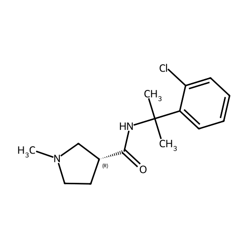 CN1CC[C@@H](C(=O)NC(C)(C)c2ccccc2Cl)C1